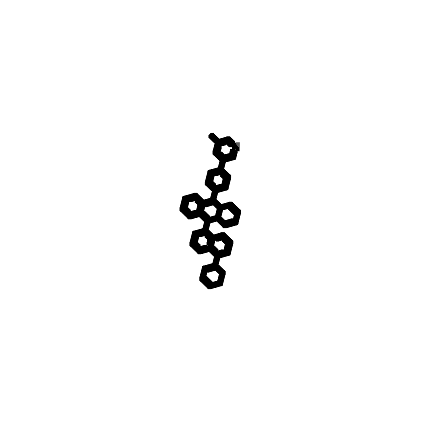 Cc1cncc(-c2ccc(C3=c4ccccc4=C(c4cccc5c(C6=CC=CCC6)cccc45)C4C=CC=CC34)cc2)c1